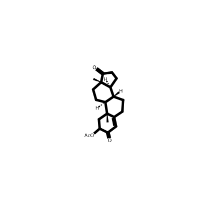 CC(=O)OC1C[C@@]2(C)C(=CC1=O)CC[C@@H]1[C@@H]2CC[C@]2(C)C(=O)CC[C@@H]12